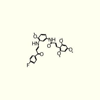 COc1cc(OC)c(C=CC(=O)Nc2ccc(OC)c(NC=CC(=O)c3ccc(F)cc3)c2)c(OC)c1